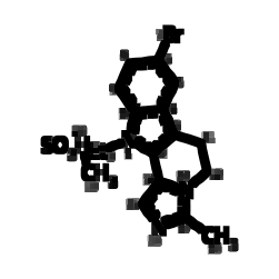 CCn1c2c(c3cc(Br)ccc31)CCn1c-2cnc1C.CS(=O)(=O)O